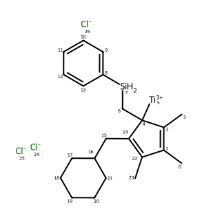 CC1=C(C)[C]([Ti+3])(C[SiH2]c2ccccc2)C(CC2CCCCC2)=C1C.[Cl-].[Cl-].[Cl-]